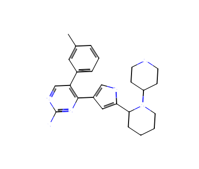 Cc1cccc(-c2cnc(N)nc2-c2c[nH]c(C3CCCCN3C3CC[N]CC3)c2)c1